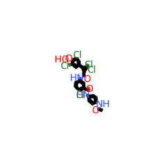 CC(=O)Nc1ccc(NC(=O)c2cc(NC(=O)C3C(c4cc(Cl)c(OO)c(Cl)c4)C3(Cl)Cl)ccc2Cl)cc1